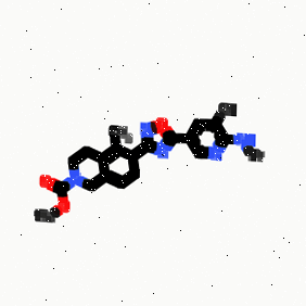 CC1=C2CCN(C(=O)OC(C)(C)C)CC2=CCC1c1noc(-c2cnc(NC(C)C)c(C#N)c2)n1